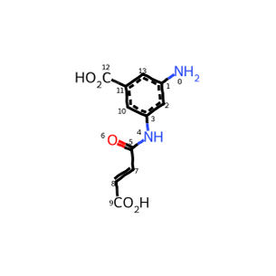 Nc1cc(NC(=O)/C=C/C(=O)O)cc(C(=O)O)c1